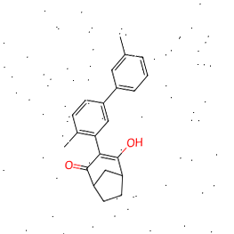 Cc1cccc(-c2ccc(C)c(C3=C(O)C4CCC(C4)C3=O)c2)c1